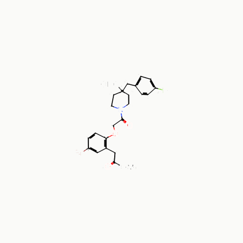 COC(=O)Cc1cc(Br)ccc1OCC(=O)N1CCC(C=O)(Cc2ccc(F)cc2)CC1